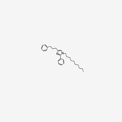 CCCCCCCCCCn1cc(CCCc2ccccc2)nc1-c1ccccc1